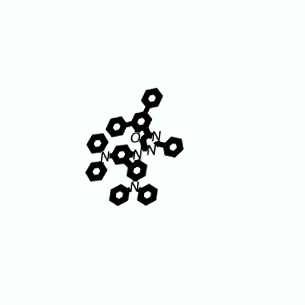 c1ccc(-c2cc(-c3ccccc3)c3oc4c(-n5c6ccc(N(c7ccccc7)c7ccccc7)cc6c6cc(N(c7ccccc7)c7ccccc7)ccc65)nc(-c5ccccc5)nc4c3c2)cc1